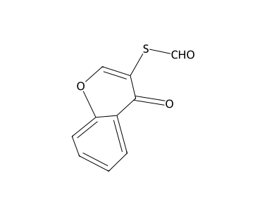 O=CSc1coc2ccccc2c1=O